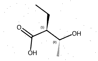 CC[C@H](C(=O)O)[C@@H](C)O